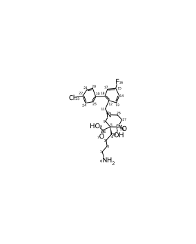 NCCCC[C@@]1(C(=O)O)CN(Cc2ccc(F)cc2-c2ccc(Cl)cc2)CCP1(=O)O